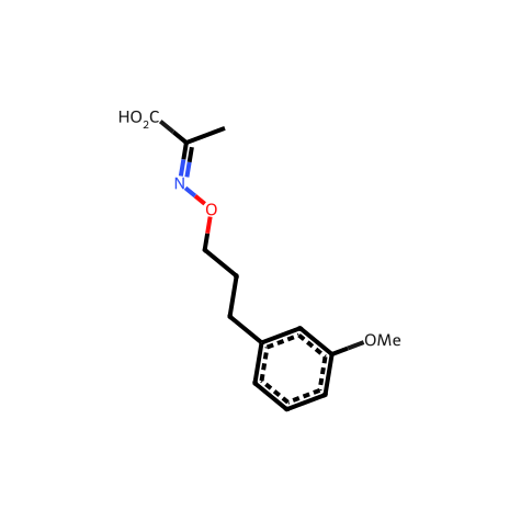 COc1cccc(CCCON=C(C)C(=O)O)c1